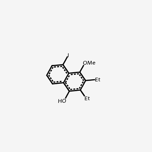 CCc1c(CC)c(OC)c2c(I)cccc2c1O